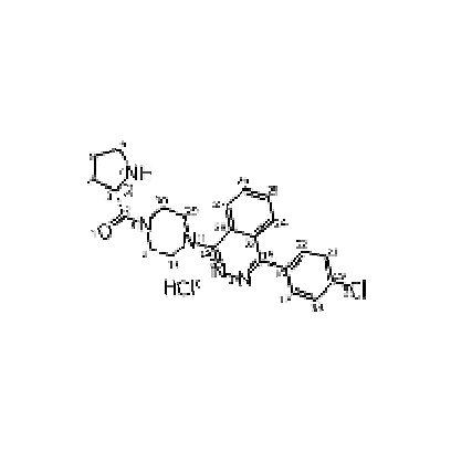 Cl.O=C([C@@H]1CCCN1)N1CCN(c2nnc(-c3ccc(Cl)cc3)c3ccccc23)CC1